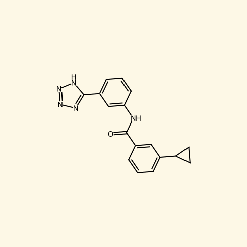 O=C(Nc1cccc(-c2nnn[nH]2)c1)c1cccc(C2CC2)c1